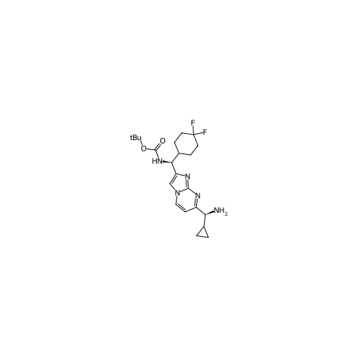 CC(C)(C)OC(=O)N[C@H](c1cn2ccc([C@@H](N)C3CC3)nc2n1)C1CCC(F)(F)CC1